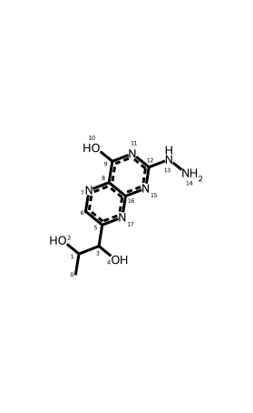 CC(O)C(O)c1cnc2c(O)nc(NN)nc2n1